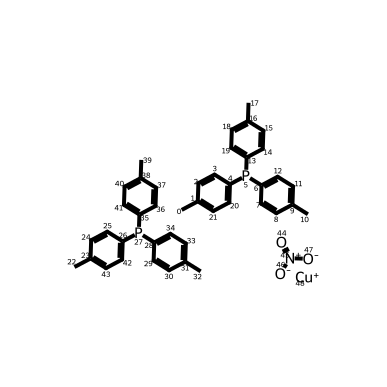 Cc1ccc(P(c2ccc(C)cc2)c2ccc(C)cc2)cc1.Cc1ccc(P(c2ccc(C)cc2)c2ccc(C)cc2)cc1.O=[N+]([O-])[O-].[Cu+]